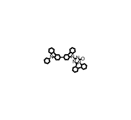 O=c1nc(-n2c3ccccc3c3cc(-c4ccc5c(c4)c4ccccc4n5-c4ccccc4)ccc32)nc2c3ccccc3c3ccccc3n12